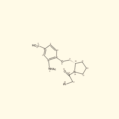 CC(=O)Nc1cc(C(=O)O)ccc1OC[C@@H]1CCCN1C(=O)CC(C)C